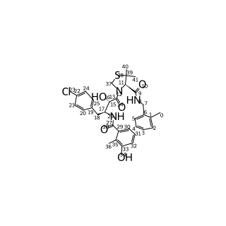 Cc1ccccc1CNC(=O)[C@H]1N(C(=O)[C@@H](O)[C@H](Cc2ccc(Cl)cc2)NC(=O)c2cccc(O)c2C)CSC1(C)C